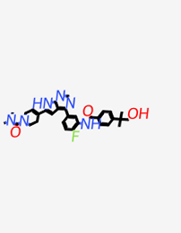 CN(C)C(=O)N1CC=C(c2cc3c(-c4ccc(F)c(NC(=O)c5ccc(C(C)(C)CO)cc5)c4)ncnc3[nH]2)CC1